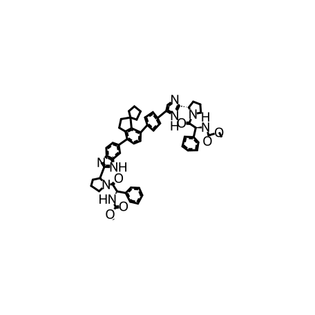 COC(=O)N[C@H](C(=O)N1CCCC1c1nc2ccc(-c3ccc(-c4ccc(-c5cnc([C@@H]6CCCN6C(=O)[C@@H](NC(=O)OC)c6ccccc6)[nH]5)cc4)c4c3CCC43CCCC3)cc2[nH]1)c1ccccc1